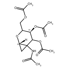 CC(=O)NC12C[C@@H]1OC(COC(C)=O)[C@@H](OC(C)=O)C2OC(C)=O